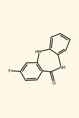 O=C1Nc2ccccc2Nc2cc(F)ccc21